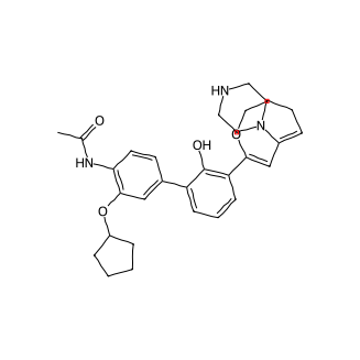 CC(=O)Nc1ccc(-c2cccc(/C3=C/C(N4CCNCC4)=C/CCCO3)c2O)cc1OC1CCCC1